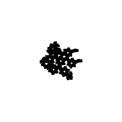 CC(C)(C)c1cccc(N2c3cc(C(C)(C)C)ccc3B3c4sc5c(c4N(c4ccc6c(c4)C(C)(C)CCC6(C)C)c4cc(N(c6ccccc6)c6ccc([Si](C)(C)C)cc6)cc2c43)C(C)(C)CCC5(C)C)c1